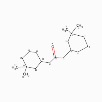 CC1(C)CCCC(CC(=O)CC2CCCC(C)(C)C2)C1